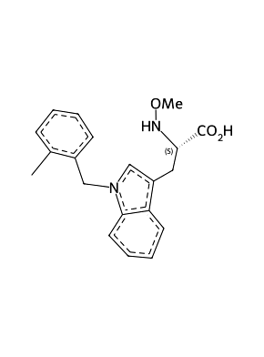 CON[C@@H](Cc1cn(Cc2ccccc2C)c2ccccc12)C(=O)O